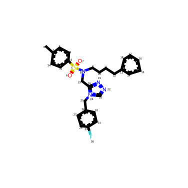 Cc1ccc(S(=O)(=O)N(CCCCc2ccccc2)Cc2nncn2Cc2ccc(F)cc2)cc1